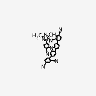 Cc1nc(C)nc(-c2ccc(C#N)c(-n3c4cc(-c5ccc(C#N)cc5C#N)ccc4c4ccc(-c5ccc(C#N)cc5C#N)cc43)c2)n1